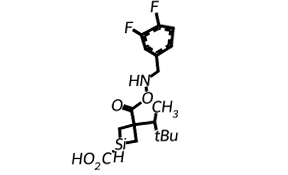 CC(C(C)(C)C)C1(C(=O)ONCc2ccc(F)c(F)c2)C[SiH](C(=O)O)C1